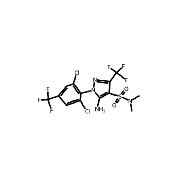 CN(C)S(=O)(=O)c1c(C(F)(F)F)nn(-c2c(Cl)cc(C(F)(F)F)cc2Cl)c1N